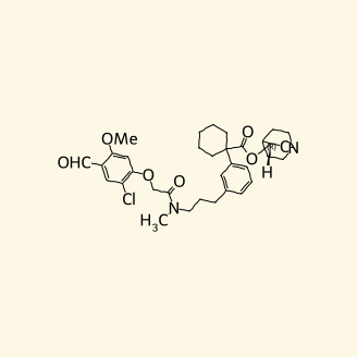 COc1cc(OCC(=O)N(C)CCCc2cccc(C3(C(=O)O[C@H]4CN5CCC4CC5)CCCCC3)c2)c(Cl)cc1C=O